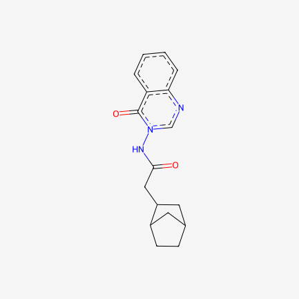 O=C(CC1CC2CCC1C2)Nn1cnc2ccccc2c1=O